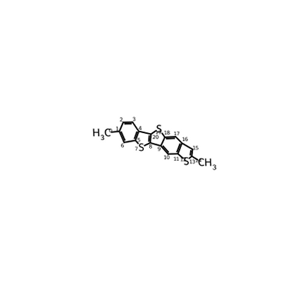 Cc1ccc2c(c1)sc1c3cc4sc(C)cc4cc3sc21